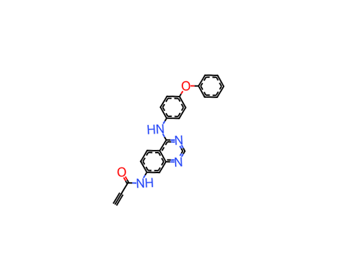 C#CC(=O)Nc1ccc2c(Nc3ccc(Oc4ccccc4)cc3)ncnc2c1